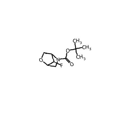 CC(C)(C)OC(=O)N1CC2OCC1C2F